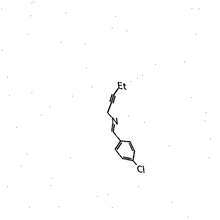 CCC#CCN=Cc1ccc(Cl)cc1